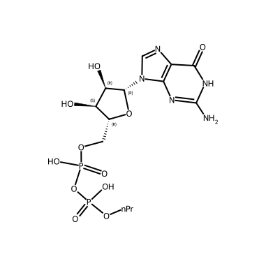 CCCOP(=O)(O)OP(=O)(O)OC[C@H]1O[C@@H](n2cnc3c(=O)[nH]c(N)nc32)[C@H](O)[C@@H]1O